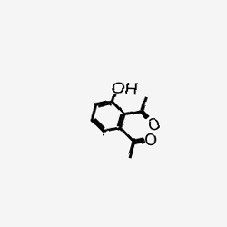 CC(=O)c1[c]ccc(O)c1C(C)=O